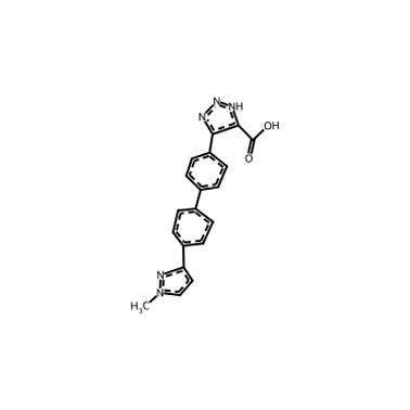 Cn1ccc(-c2ccc(-c3ccc(-c4nn[nH]c4C(=O)O)cc3)cc2)n1